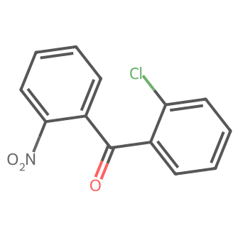 O=C(c1ccccc1Cl)c1ccccc1[N+](=O)[O-]